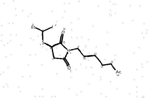 CCC(I)SC1CC(=O)N(CCCCCC(C)=O)C1=O